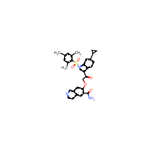 Cc1cc(C)c(S(=O)(=O)n2cc(C(=O)COc3cc4cnccc4cc3C(N)=O)c3ccc(C4CC4)cc32)c(C)c1